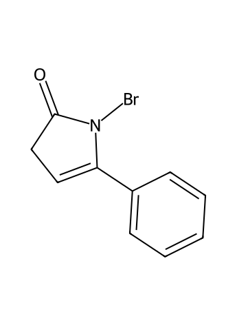 O=C1CC=C(c2ccccc2)N1Br